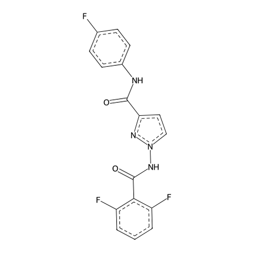 O=C(Nc1ccc(F)cc1)c1ccn(NC(=O)c2c(F)cccc2F)n1